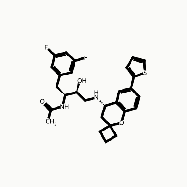 CC(=O)N[C@@H](Cc1cc(F)cc(F)c1)[C@@H](O)CN[C@H]1CC2(CCC2)Oc2ccc(-c3cccs3)cc21